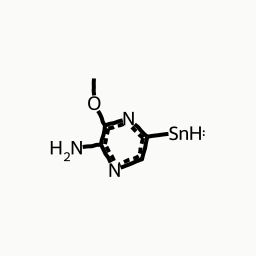 COc1n[c]([SnH])cnc1N